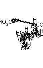 CC(=O)[C@H](CO)NC(=O)CNC(=O)[C@H](CO)NC(=O)[C@H](CO)NC(=O)CNC(=O)[C@H](CO)NC(=O)[C@H](CO)NC(=O)CC[C@H](NC(=O)CCCCCCCCCCOc1ccc(C(=O)O)cc1)C(=O)O